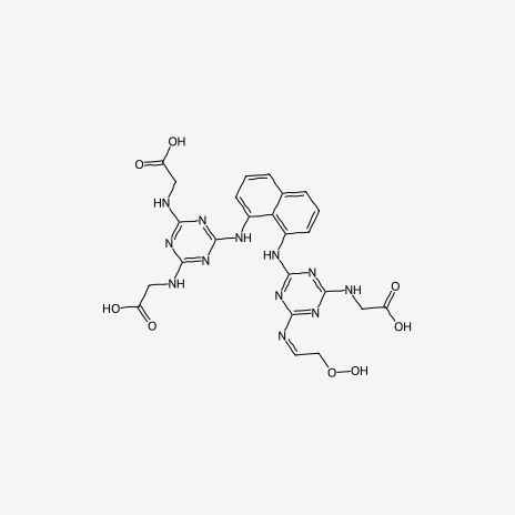 O=C(O)CNc1nc(/N=C\COO)nc(Nc2cccc3cccc(Nc4nc(NCC(=O)O)nc(NCC(=O)O)n4)c23)n1